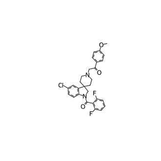 COc1ccc(C(=O)CN2CCC3(CC2)CN(C(=O)c2c(F)cccc2F)c2ccc(Cl)cc23)cc1